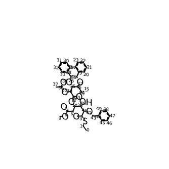 CCSC1OC(C(=O)OC)C(O[C@@H]2O[C@@H](C)C(OCc3ccccc3)C(OCc3ccccc3)C2OC(C)=O)C(O)C1OCc1ccccc1